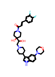 O=C(/C=C/c1ccc(F)c(F)c1)N1CCC(O)(C(O)CN2CCC(c3c[nH]c4ccc(N5CCOCC5)cc34)CC2)CC1